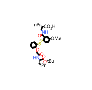 CCC[C@@H](CNC(=O)c1cc(OC)ccc1SSc1ccccc1OCC(=O)N[C@@H](CC(C)C)C(=O)OC(C)(C)C)C(=O)O